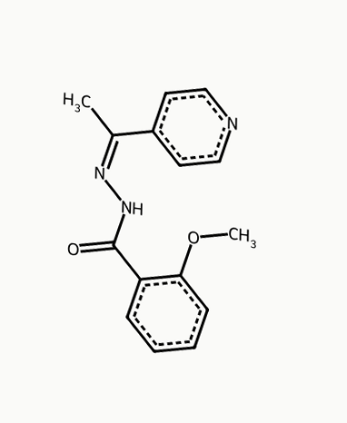 COc1ccccc1C(=O)N/N=C(/C)c1ccncc1